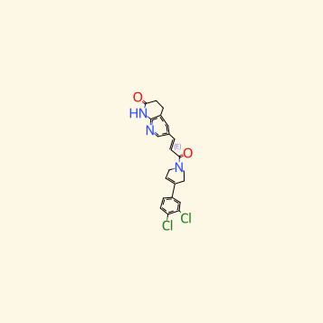 O=C1CCc2cc(/C=C/C(=O)N3CC=C(c4ccc(Cl)c(Cl)c4)CC3)cnc2N1